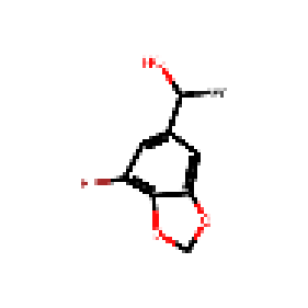 CC(C)C(O)c1cc(Br)c2c(c1)OCO2